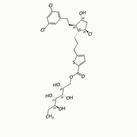 CC[C@H](O)[C@H](O)[C@@H](O)[C@H](O)COC(=O)c1ccc(CCC[C@@H]2[C@@H](CCc3cc(Cl)cc(Cl)c3)[C@H](O)C[C@H]2Cl)s1